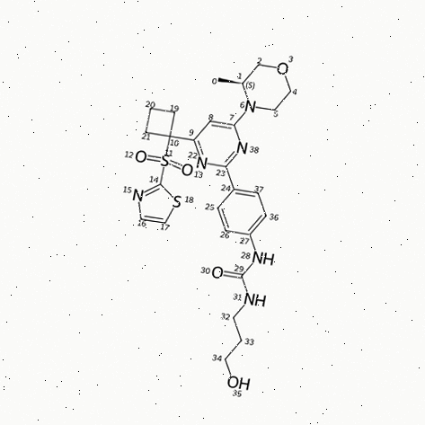 C[C@H]1COCCN1c1cc(C2(S(=O)(=O)c3nccs3)CCC2)nc(-c2ccc(NC(=O)NCCCO)cc2)n1